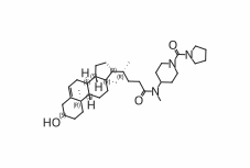 C[C@H](CCC(=O)N(C)C1CCN(C(=O)N2CCCC2)CC1)[C@H]1CC[C@H]2[C@@H]3CC=C4C[C@@H](O)CC[C@]4(C)[C@H]3CC[C@]12C